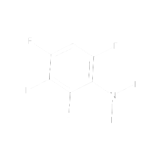 Fc1cc(F)c(N(I)I)c(F)c1F